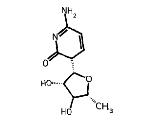 C[C@H]1O[C@@H](C2C=CC(N)=NC2=O)[C@@H](O)C1O